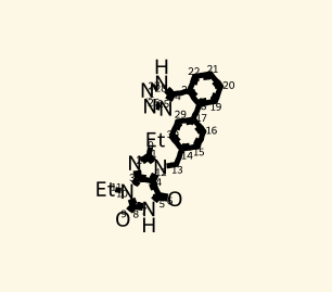 CCc1nc2c(c(=O)[nH]c(=O)n2CC)n1Cc1ccc(-c2ccccc2-c2nnn[nH]2)cc1